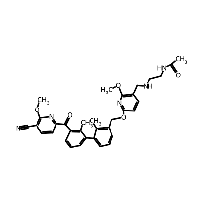 COc1nc(C(=O)c2cccc(-c3cccc(COc4ccc(CNCCNC(C)=O)c(OC)n4)c3C)c2C)ccc1C#N